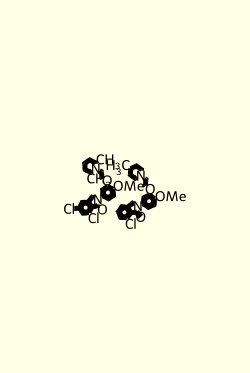 COc1ccc(N2Cc3cc(Cl)cc(Cl)c3C2=O)cc1OCCN1[C@H](C)CCC[C@@H]1C.COc1ccc(N2Cc3cccc(Cl)c3C2=O)cc1OCCN1CCC(C)CC1